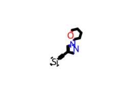 C[Si](C)(C)C#Cc1cnn(C2CCCCO2)c1